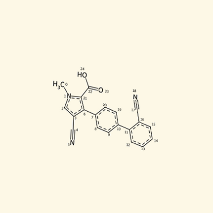 Cn1cc(C#N)c(-c2ccc(-c3ccccc3C#N)cc2)c1C(=O)O